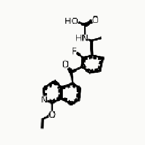 CCOc1nccc2c(C(=O)c3cccc(C(C)NC(=O)O)c3F)cccc12